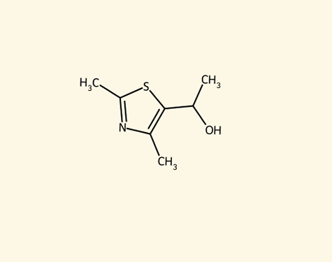 Cc1nc(C)c(C(C)O)s1